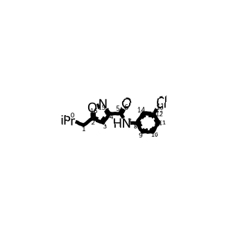 CC(C)Cc1cc(C(=O)Nc2cccc(Cl)c2)no1